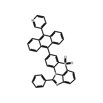 O=S1(=O)c2cc(-c3c4ccccc4c(-c4cccnc4)c4ccccc34)ccc2-n2c(-c3ccccc3)nc3cccc1c32